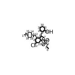 C=CCS(=O)(=O)n1cc(C)c2c(CN3CCN(C)CC3)cc(Cl)cc21.Oc1ccccc1